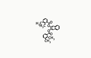 Cc1cccc(C(=O)OC2C3CC(c4ccccc43)C2OC(=O)c2cccc(C)c2C)c1C